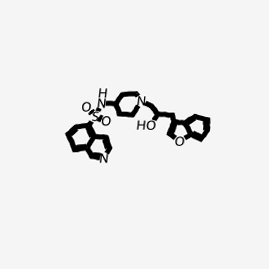 O=S(=O)(NC1CCN(CC(O)Cc2coc3ccccc23)CC1)c1cccc2cnccc12